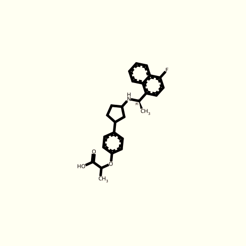 CC(Oc1ccc(C2CCC(N[C@H](C)c3ccc(F)c4ccccc34)C2)cc1)C(=O)O